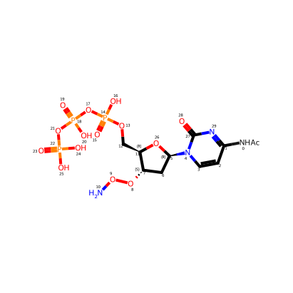 CC(=O)Nc1ccn([C@H]2C[C@H](OON)[C@@H](COP(=O)(O)OP(=O)(O)OP(=O)(O)O)O2)c(=O)n1